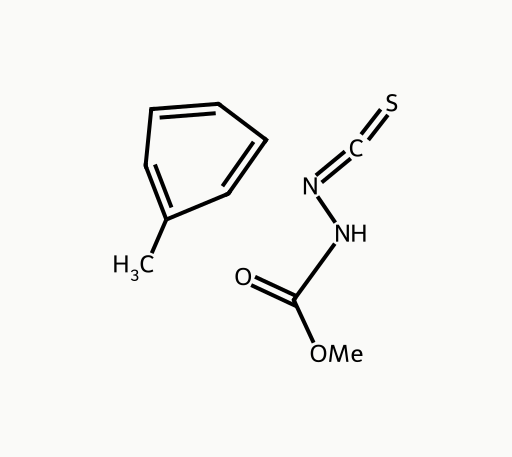 COC(=O)NN=C=S.Cc1ccccc1